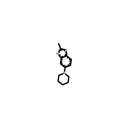 Cc1nc2cc(N3CCCCC3)ccc2s1